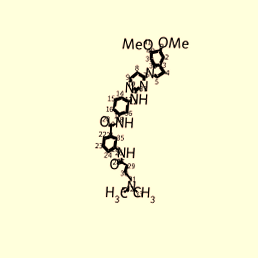 COc1cc2ccn(-c3ccnc(Nc4cccc(NC(=O)c5cccc(NC(=O)/C=C/CN(C)C)c5)c4)n3)c2cc1OC